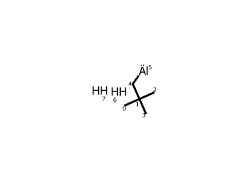 CC(C)(C)[CH2][Al].[HH].[HH]